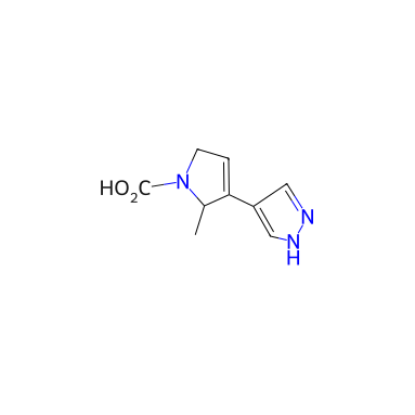 CC1C(c2cn[nH]c2)=CCN1C(=O)O